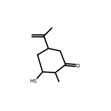 C=C(C)C1CC(=O)C(C)C(S)C1